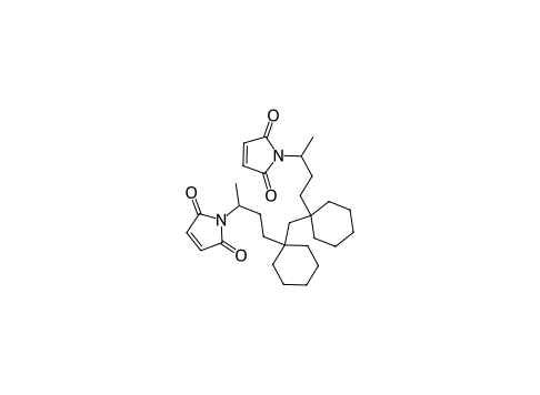 CC(CCC1(CC2(CCC(C)N3C(=O)C=CC3=O)CCCCC2)CCCCC1)N1C(=O)C=CC1=O